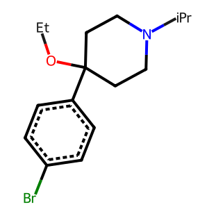 CCOC1(c2ccc(Br)cc2)CCN(C(C)C)CC1